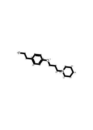 FCCc1ccc(OCCCN2CCCCC2)cc1